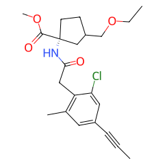 CC#Cc1cc(C)c(CC(=O)N[C@]2(C(=O)OC)CCC(COCC)C2)c(Cl)c1